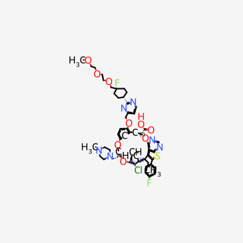 C#C/C1=C(Cl)\C(C)=C(/CC)c2c(-c3ccc(F)cc3)sc3ncnc(c23)O[C@@H](C(=O)O)Cc2cc(ccc2OCc2ccnc([C@H]3CC[C@](F)(COCCOCCOC)CC3)n2)OC[C@@H](CN2CCN(C)CC2)O1